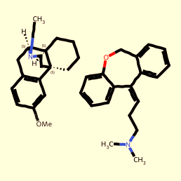 CN(C)CCC=C1c2ccccc2COc2ccccc21.COc1ccc2c(c1)[C@]13CCCC[C@@H]1[C@H](C2)N(C)CC3